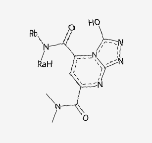 CN(C)C(=O)c1cc(C(=O)[N]([Rb])[RaH])n2c(O)nnc2n1